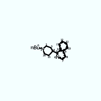 CCCCN1CCC(c2nccc3ccccc23)CC1